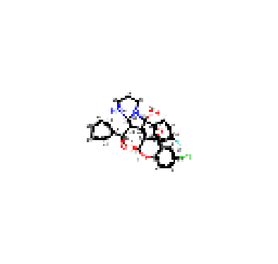 O=C1Oc2ccc(Cl)cc2C(=O)/C1=C1/C(C(=O)c2ccccc2)=C2NCCCN2C1(O)c1ccc(F)cc1